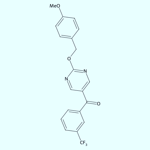 COc1ccc(COc2ncc(C(=O)c3cccc(C(F)(F)F)c3)cn2)cc1